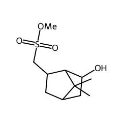 COS(=O)(=O)CC1CC2CC(O)C1C2(C)C